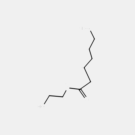 CCCCCCCCCCCC(=O)SCCO